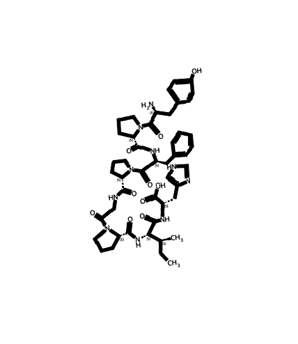 CC[C@H](C)[C@H](NC(=O)[C@@H]1CCCN1C(=O)CNC(=O)[C@@H]1CCCN1C(=O)[C@H](Cc1ccccc1)NC(=O)[C@@H]1CCCN1C(=O)[C@@H](N)Cc1ccc(O)cc1)C(=O)N[C@@H](Cc1c[nH]cn1)C(=O)O